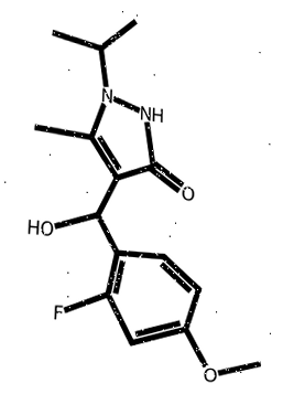 COc1ccc(C(O)c2c(C)n(C(C)C)[nH]c2=O)c(F)c1